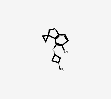 N#Cc1ccc2c(c1O[C@H]1C[C@H](N)C1)C1(CC1)CO2